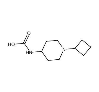 O=C(O)NC1CCN(C2CCC2)CC1